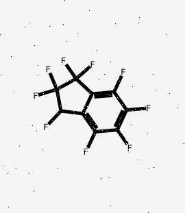 Fc1c(F)c(F)c2c(c1F)C(F)C(F)(F)C2(F)F